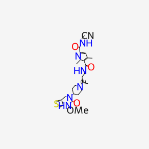 CONC(=O)N(Cc1ccsc1)C1CCN([C@H](C)CCNC(=O)c2c(C)cc(C(=O)NCC#N)nc2C)CC1